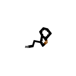 [CH]=CCc1csc2ccccc12